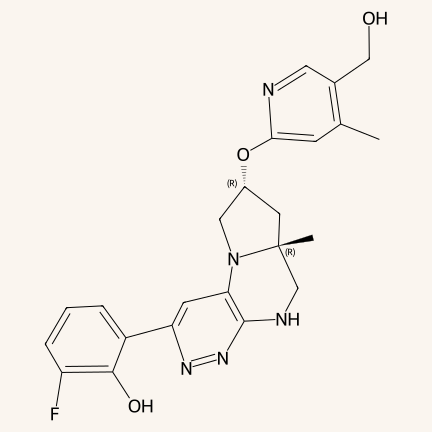 Cc1cc(O[C@H]2CN3c4cc(-c5cccc(F)c5O)nnc4NC[C@@]3(C)C2)ncc1CO